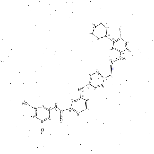 O=C(Nc1cc(O)cc(Cl)c1)c1cccc(Nc2ccc(/C=N/Nc3ncc(F)c(N4CCOCC4)n3)nc2)c1